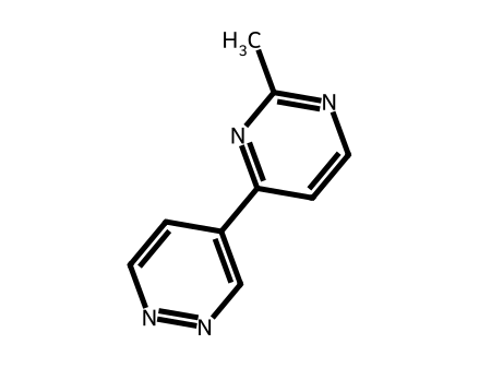 Cc1nccc(-c2ccnnc2)n1